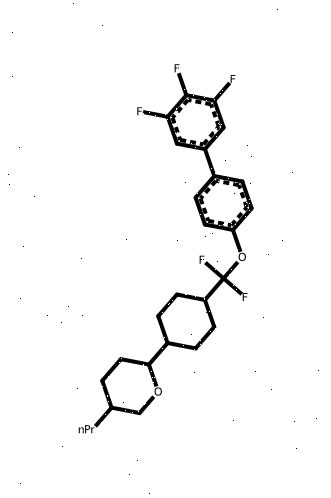 CCCC1CCC(C2CCC(C(F)(F)Oc3ccc(-c4cc(F)c(F)c(F)c4)cc3)CC2)OC1